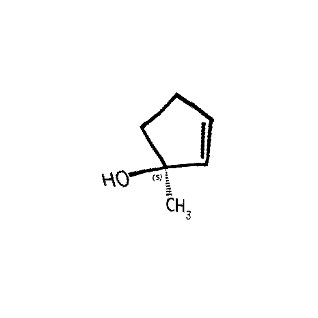 C[C@@]1(O)C=CCC1